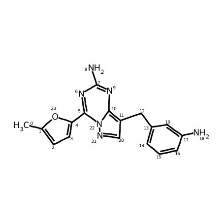 Cc1ccc(-c2nc(N)nc3c(Cc4cccc(N)c4)cnn23)o1